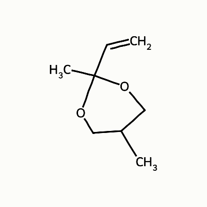 C=CC1(C)OCC(C)CO1